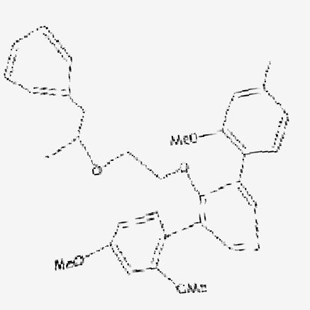 COc1ccc(-c2cccc(-c3ccc(C)cc3OC)c2OCCOC(C)Cc2ccccc2)c(OC)c1